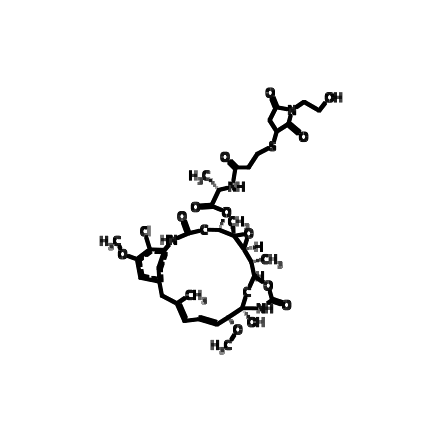 COc1cc2cc(c1Cl)NC(=O)C[C@H](OC(=O)[C@H](C)NC(=O)CCSC1CC(=O)N(CCO)C1=O)[C@]1(C)O[C@H]1[C@H](C)[C@@H]1C[C@@](O)(NC(=O)O1)[C@H](OC)/C=C/C=C(\C)C2